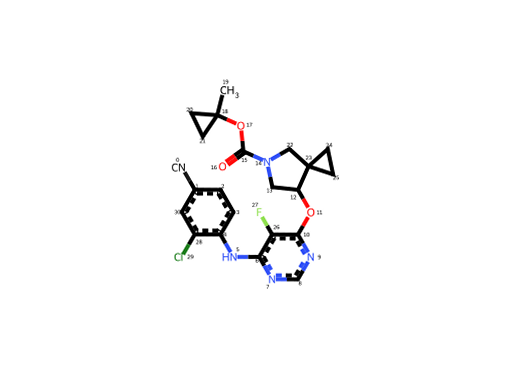 [C-]#[N+]c1ccc(Nc2ncnc(OC3CN(C(=O)OC4(C)CC4)CC34CC4)c2F)c(Cl)c1